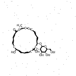 C[C@@H]1[C@@H](O[C@H]2/C=C/C=C/CCC[C@@H](C)OC(=O)/C=C\C=C\C[C@H](O)/C=C/C=C\C[C@H](O)C2)O[C@@H](CO)[C@H](O)[C@H]1O